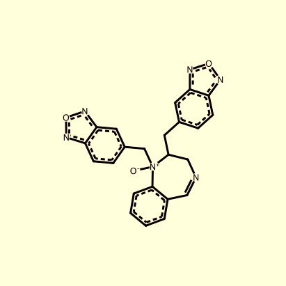 [O-][N+]1(Cc2ccc3nonc3c2)c2ccccc2C=NCC1Cc1ccc2nonc2c1